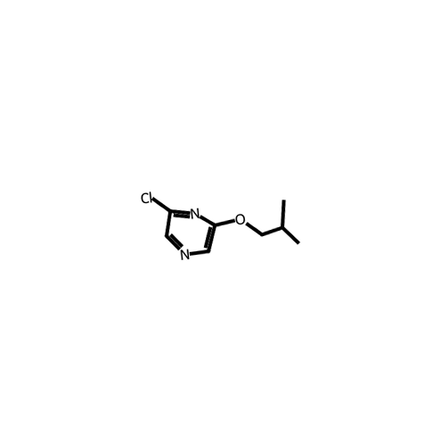 CC(C)COc1cncc(Cl)n1